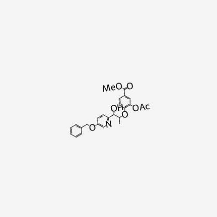 COC(=O)c1ccc(OC(C)C(O)c2ccc(OCc3ccccc3)cn2)c(OC(C)=O)c1